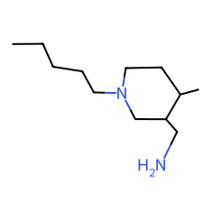 CCCCCN1CCC(C)C(CN)C1